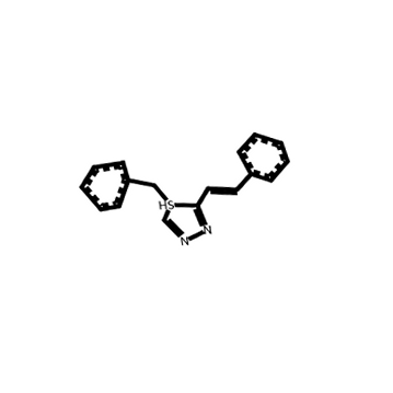 C1=NN=C(/C=C/c2ccccc2)[SH]1Cc1ccccc1